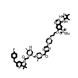 Cc1n[nH]c(Nc2ncnc3cc(OCCCN4CCN(c5cnc(C(=O)N6CCN(C[C@H]7CN[C@H](C)CN7CC(=O)N7CC(C)(C)c8ncc(Cc9ccc(F)cc9)cc87)[C@H](C)C6)cn5)CC4)c(S(=O)(=O)C(C)(C)C)cc23)c1C